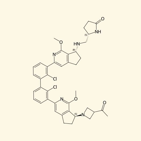 COc1nc(-c2cccc(-c3cccc(-c4cc5c(c(OC)n4)[C@@H](N4CC(C(C)=O)C4)CC5)c3Cl)c2Cl)cc2c1[C@H](NC[C@@H]1CCC(=O)N1)CC2